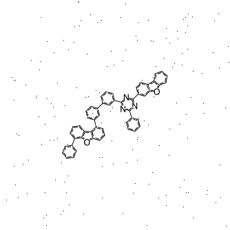 c1ccc(-c2nc(-c3cccc(-c4cccc(-c5cccc6oc7c(-c8ccccc8)cccc7c56)c4)c3)nc(-c3ccc4c(c3)oc3ccccc34)n2)cc1